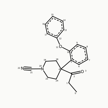 CCC(=O)C1(c2ccccc2Oc2ccccc2)CCN(C#N)CC1